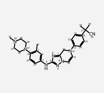 Cc1cc(Nc2nc3n(n2)C=CN(c2ccc(C(C)(C)C#N)cc2)C3)ccc1N1CCN(C)CC1